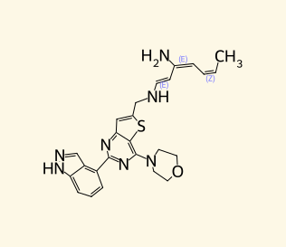 C\C=C/C=C(N)\C=C\NCc1cc2nc(-c3cccc4[nH]ncc34)nc(N3CCOCC3)c2s1